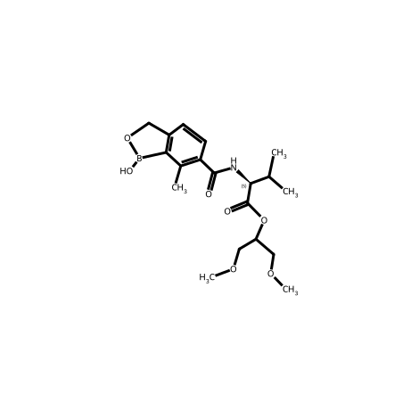 COCC(COC)OC(=O)[C@@H](NC(=O)c1ccc2c(c1C)B(O)OC2)C(C)C